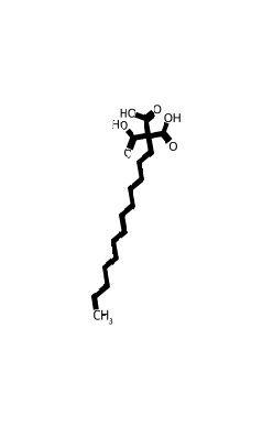 CCCCCCCCCCCCCC(C(=O)O)(C(=O)O)C(=O)O